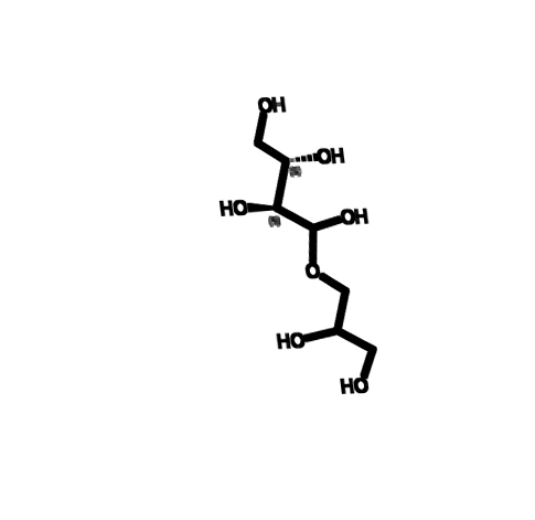 OCC(O)COC(O)[C@@H](O)[C@@H](O)CO